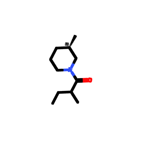 CCC(C)C(=O)N1CCC[C@H](C)C1